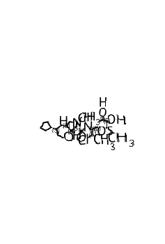 CSC1O[C@H]([C@H](NC(=O)[C@@H]2[C@@H]3OCC[C@@H](C4CCCC4)C[C@H]3CN2C)[C@H](C)Cl)C[C@@H](O)[C@H]1O